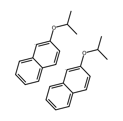 CC(C)Oc1[c]c2ccccc2cc1.CC(C)Oc1[c]c2ccccc2cc1